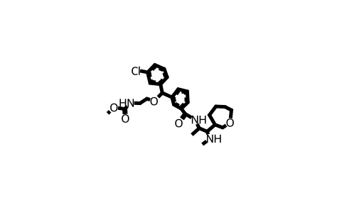 CNC(C1CCCCOC1)C(C)NC(=O)c1cccc(C(OCCNC(=O)OC)c2cccc(Cl)c2)c1